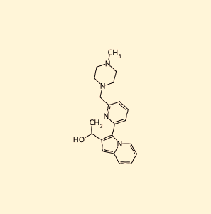 CC(O)c1cc2ccccn2c1-c1cccc(CN2CCN(C)CC2)n1